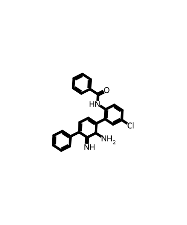 N=C1C(c2ccccc2)=CC=C(c2cc(Cl)ccc2NC(=O)c2ccccc2)C1N